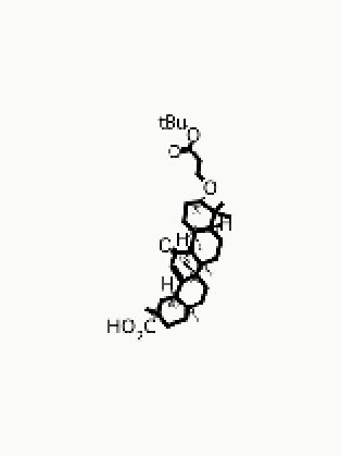 CC(C)(C)OC(=O)CCO[C@H]1CC[C@]2(C)[C@H]3C(=O)C=C4[C@@H]5C[C@@](C)(C(=O)O)CC[C@]5(C)CC[C@@]4(C)[C@]3(C)CC[C@H]2C1(C)C